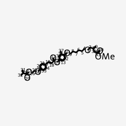 C=C(COCCCCCCOc1ccc(OC(=O)/C=C/c2ccc(OCCOC(=O)C(=C)C)cc2)cc1C)CC(=O)OC